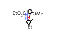 CCOC(=O)Nc1cccc(OC)c1COc1ccc(CC)cc1C